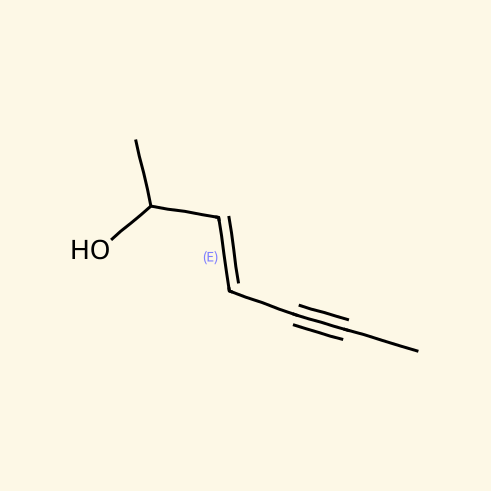 CC#C/C=C/C(C)O